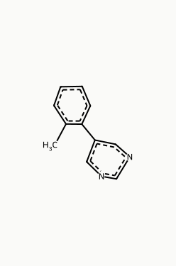 Cc1ccccc1-c1cncnc1